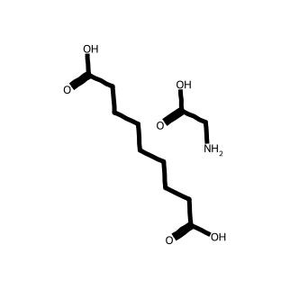 NCC(=O)O.O=C(O)CCCCCCCC(=O)O